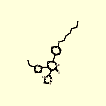 CCCCCCOc1ccc(-c2cc(-c3ccc(CC)s3)c(-c3nnc[nH]3)c(=O)[nH]2)cc1